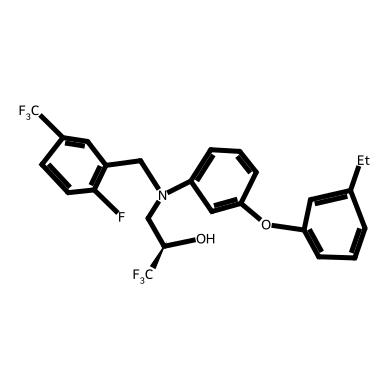 CCc1cccc(Oc2cccc(N(Cc3cc(C(F)(F)F)ccc3F)C[C@@H](O)C(F)(F)F)c2)c1